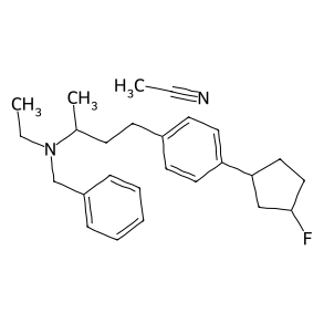 CC#N.CCN(Cc1ccccc1)C(C)CCc1ccc(C2CCC(F)C2)cc1